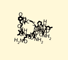 [2H]C([2H])(NC(=O)C(CC(C)C)NC(=O)C1CCCN1C(=O)C1CSCCCC(=O)NC(Cc2ccc(OC)cc2)C(=O)NC(C(C)CC)C(=O)NC(CCC(N)=O)C(=O)NC(CC(N)=O)C(=O)N1)C(N)=O